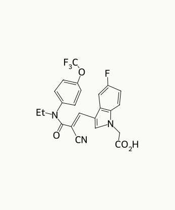 CCN(C(=O)/C(C#N)=C/c1cn(CC(=O)O)c2ccc(F)cc12)c1ccc(OC(F)(F)F)cc1